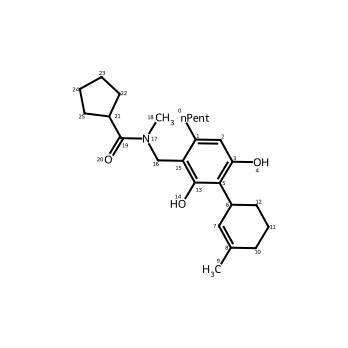 CCCCCc1cc(O)c(C2C=C(C)CCC2)c(O)c1CN(C)C(=O)C1CCCC1